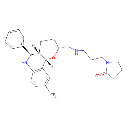 O=C1CCCN1CCCNC[C@H]1CC[C@@H]2[C@H](O1)c1cc(C(F)(F)F)ccc1N[C@H]2c1ccccc1